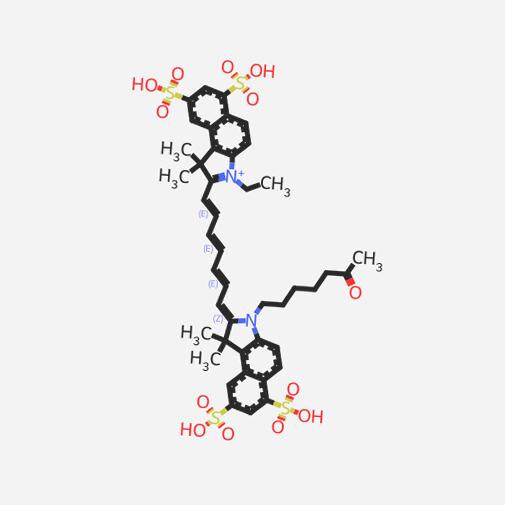 CC[N+]1=C(/C=C/C=C/C=C/C=C2\N(CCCCCC(C)=O)c3ccc4c(S(=O)(=O)O)cc(S(=O)(=O)O)cc4c3C2(C)C)C(C)(C)c2c1ccc1c(S(=O)(=O)O)cc(S(=O)(=O)O)cc21